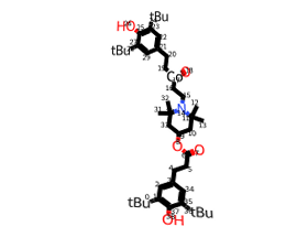 CC(C)(C)c1cc(CCC(=O)OC2CC(C)(C)N(C[CH2][Co](=[O])[CH2]Cc3cc(C(C)(C)C)c(O)c(C(C)(C)C)c3)C(C)(C)C2)cc(C(C)(C)C)c1O